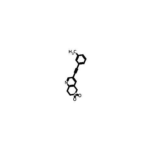 Cc1cccc(C#Cc2cnc3c(c2)CS(=O)(=O)CC3)c1